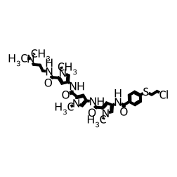 CN(C)CCCNC(=O)c1cc(NC(=O)c2cc(NC(=O)c3cc(NC(=O)c4ccc(SCCCl)cc4)cn3C)cn2C)cn1C